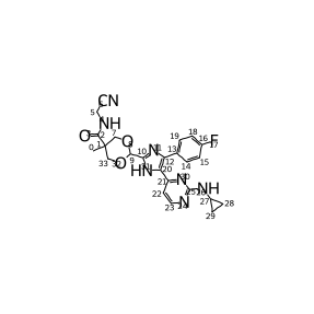 CC1(C(=O)NCC#N)COC(c2nc(-c3ccc(F)cc3)c(-c3ccnc(NC4CC4)n3)[nH]2)OC1